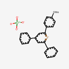 COc1ccc(-c2cc(-c3ccccc3)cc(-c3ccccc3)[s+]2)cc1.[O-][Cl+3]([O-])([O-])[O-]